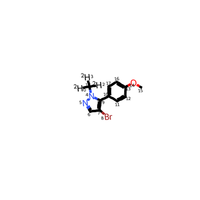 [2H]C([2H])([2H])n1ncc(Br)c1-c1ccc(OC)cc1